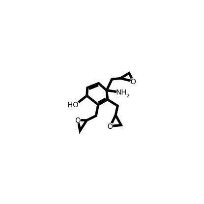 NC1(CC2CO2)C=CC(O)C(CC2CO2)=C1CC1CO1